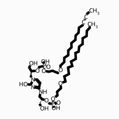 CCCCCCCCCCCCCCCCOCCCOP(=O)(O)CO[C@H](CO)CNC1=NC(O)N(C[C@@H](CO)OCP(=O)(O)OCCCOCCCCCCCCCCCCCCCC)C=C1